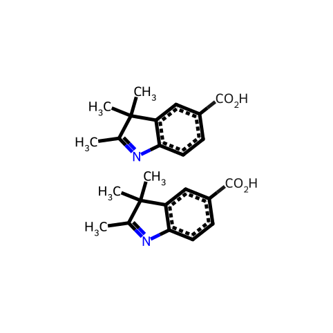 CC1=Nc2ccc(C(=O)O)cc2C1(C)C.CC1=Nc2ccc(C(=O)O)cc2C1(C)C